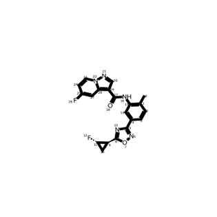 Cc1ccc(-c2noc([C@H]3C[C@@H]3F)n2)cc1NC(=O)c1cnn2ccc(F)cc12